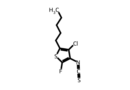 CCCCCc1sc(F)c(N=C=S)c1Cl